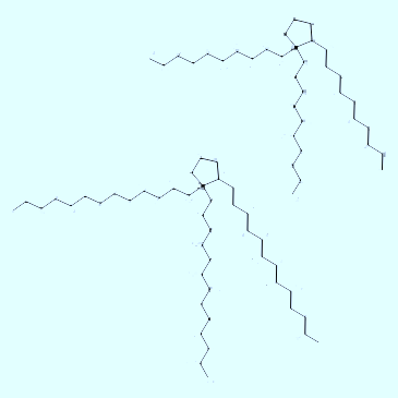 CCCCCCCCCCC1CCCC1(CCCCCCCCCC)CCCCCCCCCC.CCCCCCCCCCCCCC1CCCC1(CCCCCCCCCCCCC)CCCCCCCCCCCCC